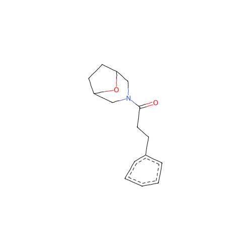 O=C(CCc1ccccc1)N1CC2CCC(C1)O2